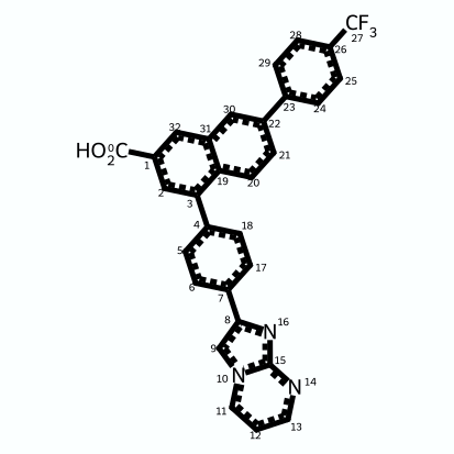 O=C(O)c1cc(-c2ccc(-c3cn4cccnc4n3)cc2)c2ccc(-c3ccc(C(F)(F)F)cc3)cc2c1